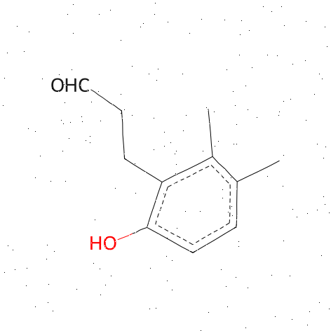 Cc1ccc(O)c(CCC=O)c1C